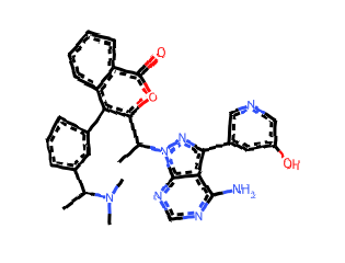 CC(c1cccc(-c2c(C(C)n3nc(-c4cncc(O)c4)c4c(N)ncnc43)oc(=O)c3ccccc23)c1)N(C)C